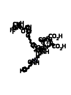 C/C(=N\CCCC[C@H](NC(=O)CN1CCN(CC(=O)O)CCN(CC(=O)O)CCN(CC(=O)O)CC1)C(=O)N[C@@H](C)C(=O)N1CCC(CCCCOc2ccc3nccc(C(=O)NCC(=O)N4CC(F)(F)C[C@@H]4C#N)c3c2)CC1)NC(=O)CCCc1ccc(I)cc1